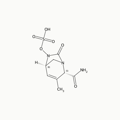 CC1=C[C@@H]2CN(C(=O)N2OS(=O)(=O)O)[C@@H]1C(N)=O